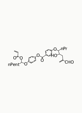 C=CC(=O)OC(CCCCC)Oc1ccc(OC(=O)c2ccc(OC(CCC)C(O)CC(=C)C=O)cc2)cc1